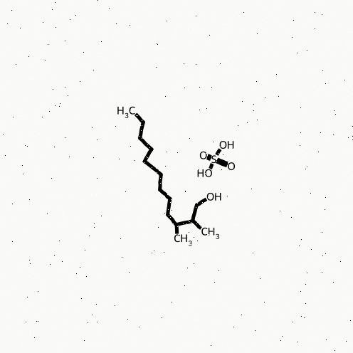 CCCCCCCCCC(C)C(C)CO.O=S(=O)(O)O